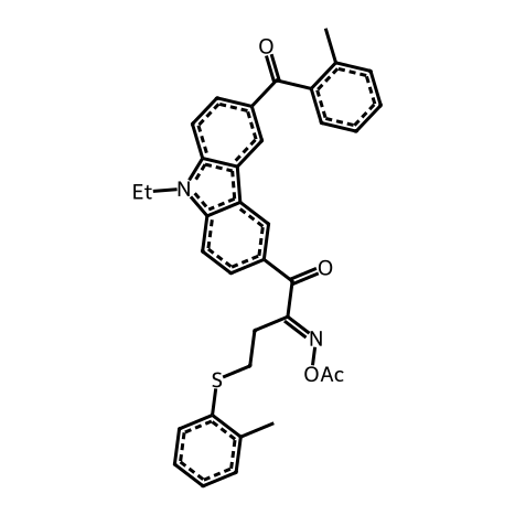 CCn1c2ccc(C(=O)/C(CCSc3ccccc3C)=N/OC(C)=O)cc2c2cc(C(=O)c3ccccc3C)ccc21